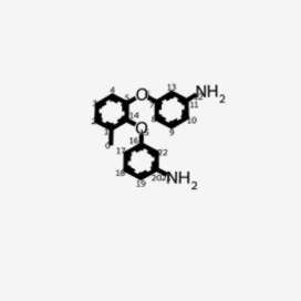 Cc1cccc(Oc2cccc(N)c2)c1Oc1cccc(N)c1